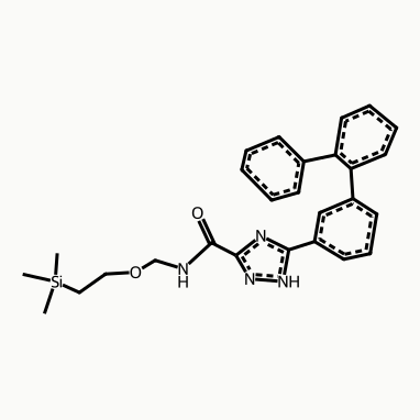 C[Si](C)(C)CCOCNC(=O)c1n[nH]c(-c2cccc(-c3ccccc3-c3ccccc3)c2)n1